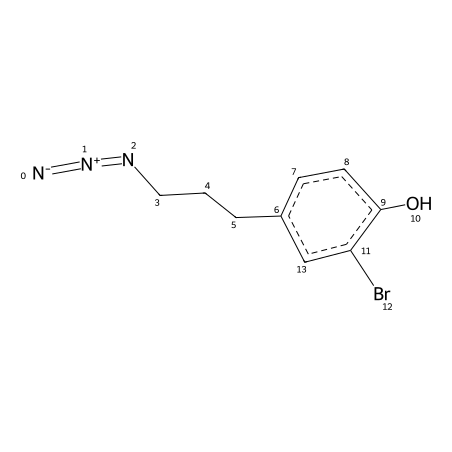 [N-]=[N+]=NCCCc1ccc(O)c(Br)c1